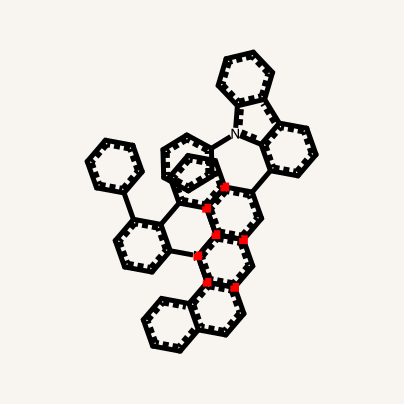 c1ccc(-c2ccccc2-c2c(-c3ccccc3)cccc2N(c2ccc(-c3cccc4c5ccccc5n(-c5ccccc5)c34)cc2)c2cccc3ccccc23)cc1